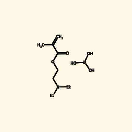 C=C(C)C(=O)OCCN(CC)CC.OB(O)O